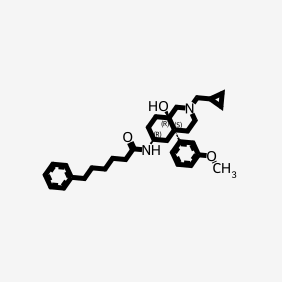 COc1cccc([C@@]23CCN(CC4CC4)C[C@@]2(O)CC[C@@H](NC(=O)CCCCCc2ccccc2)C3)c1